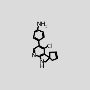 Nc1ccc(-c2cnc3c(c2Cl)C2(CC=CC2)CN3)cc1